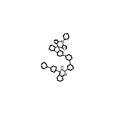 c1ccc(-c2ccc(C3=c4ccccc4=NC(c4cccc(-c5cccc(-c6ccc7c(c6)C6(c8ccccc8-7)c7ccccc7N(c7ccccc7)c7ccccc76)c5)c4)N3)cc2)cc1